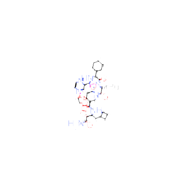 CC(C)(C)[C@@H](NC(=O)[C@H](NC(=O)c1cnccn1)C1CCCCC1)C(=O)N1CCC2(OCCO2)C(C(=O)NC(CC2CCC2)C(=O)C(N)=O)C1